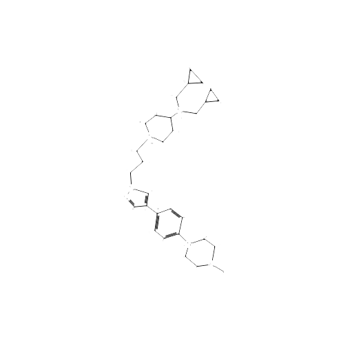 CN1CCN(c2ccc(-c3cnn(CCCN4CCC(N(CC5CC5)CC5CC5)CC4)c3)cc2)CC1